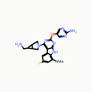 CNc1cc(F)cc2c1[nH]c1nc(Oc3cnc(N)nc3)nc(N3CC4C(CN)C4C3)c12